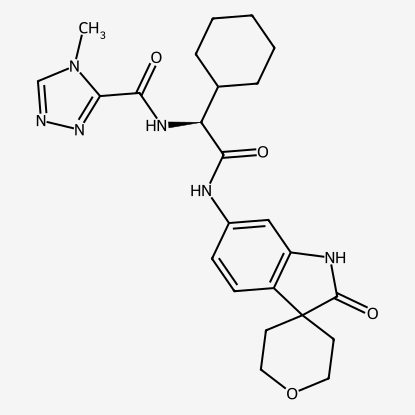 Cn1cnnc1C(=O)N[C@H](C(=O)Nc1ccc2c(c1)NC(=O)C21CCOCC1)C1CCCCC1